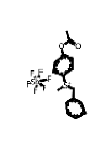 CC(=O)Oc1ccc([S+](C)Cc2ccccc2)cc1.[F][Sb-]([F])([F])([F])([F])[F]